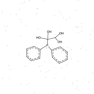 OC(O)C(O)(O)P(c1ccccc1)c1ccccc1